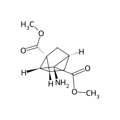 COC(=O)[C@@]1(N)[C@@H]2C[C@@H]3[C@@H]1[C@@]3(C(=O)OC)C2